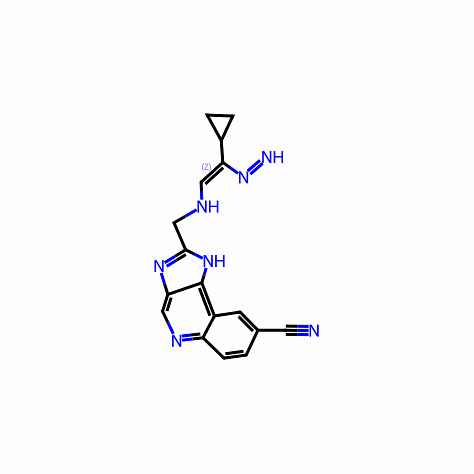 N#Cc1ccc2ncc3nc(CN/C=C(\N=N)C4CC4)[nH]c3c2c1